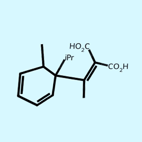 CC(=C(C(=O)O)C(=O)O)C1(C(C)C)C=CC=CC1C